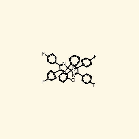 Fc1ccc(C2=NC(c3ccccc3Cl)(C3(c4ccccc4Cl)N=C(c4ccc(F)cc4)C(c4ccc(F)cc4)=N3)N=C2c2ccc(F)cc2)cc1